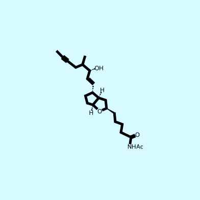 CC#CCC(C)[C@H](O)/C=C/[C@H]1CC[C@@H]2O[C@H](CCCCC(=O)NC(C)=O)C[C@@H]21